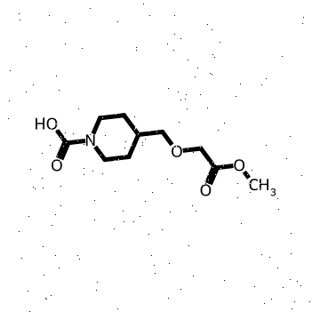 COC(=O)COCC1CCN(C(=O)O)CC1